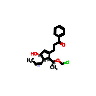 C/C=C\[C@@H]1[C@H]([C@@H](C)OCCl)C(CCC(=O)c2ccccc2)=C[C@H]1O